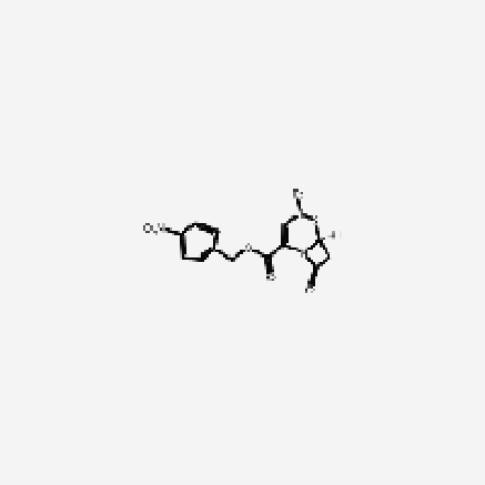 CCN1C=C(C(=O)OCc2ccc([N+](=O)[O-])cc2)N2C(=O)C[C@@H]2S1